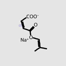 CC(C)=COC(=O)/C=C\C(=O)[O-].[Na+]